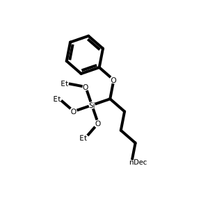 CCCCCCCCCCCCCC(Oc1ccccc1)[Si](OCC)(OCC)OCC